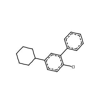 Clc1ccc([C]2CCCCC2)cc1-c1ccccc1